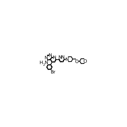 Nc1ncnc2nc(-c3ccc(N4CCC(COC5CCOCC5)CC4)nn3)cc(-c3cccc(Br)c3)c12